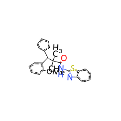 COc1ccccc1C(c1ccccc1)C(C)(C)C(=O)Nc1nc2ccccc2s1